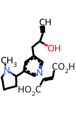 C#CC(O)Cc1cncc(C2CCCN2C)c1.O=C(O)C=CC(=O)O